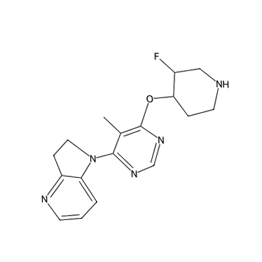 Cc1c(OC2CCNCC2F)ncnc1N1CCc2ncccc21